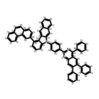 c1ccc(-c2cc3nc(-c4ccc(-n5c6cc7ccccc7cc6c6c(-c7ccc8ccc9ccccc9c8c7)cccc65)cc4)nc(-c4ccccc4)c3cc2-c2ccccc2)cc1